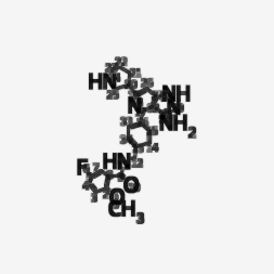 COc1ccc(F)cc1C(=O)NCc1ccc(-c2nc(C3CCCNC3)cc3[nH]nc(N)c23)cc1